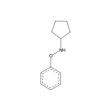 c1ccc(ONC2CCCC2)cc1